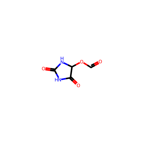 O=COC1NC(=O)NC1=O